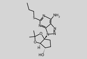 CCCSc1nc(N)c2nnn([C@@]34CC[C@H](O)[C@H]3OC(C)(C)O4)c2n1